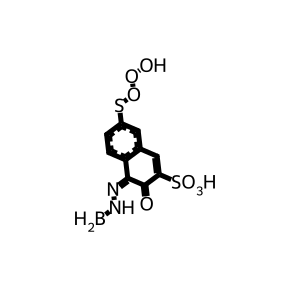 BN/N=C1\C(=O)C(S(=O)(=O)O)=Cc2cc(SOOO)ccc21